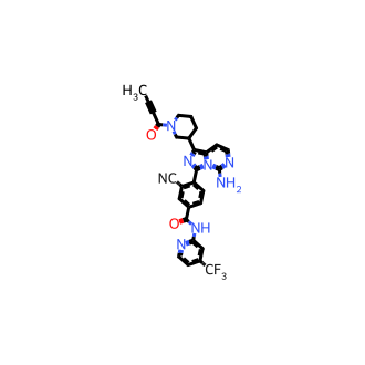 CC#CC(=O)N1CCCC(c2nc(-c3ccc(C(=O)Nc4cc(C(F)(F)F)ccn4)cc3C#N)n3c(N)nccc23)C1